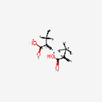 C=C(C(=O)O)C(C)(C)C.C=C(C(=O)O)C(C)(C)C